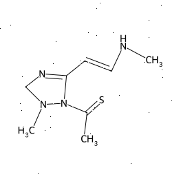 CN/C=C/C1=NCN(C)N1C(C)=S